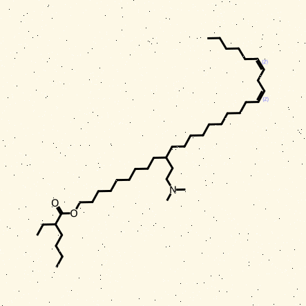 CCCCC/C=C\C/C=C\CCCCCCCCCC(CCCCCCCCCOC(=O)C(CC)CCCC)CCN(C)C